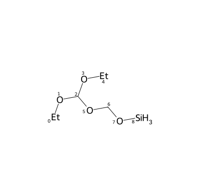 CCOC(OCC)OCO[SiH3]